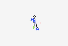 C[C@]12CC[C@](C)(C[C@@H](N(CCF)c3ccc(-c4cc(F)c(-c5cn[nH]c5)cc4O)nn3)C1)C2